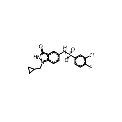 O=c1[nH]n(CC2CC2)c2ccc(NS(=O)(=O)c3ccc(F)c(Cl)c3)cc12